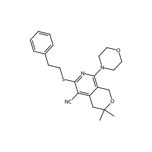 CC1(C)Cc2c(C#N)c(SCCc3ccccc3)nc(N3CCOCC3)c2CO1